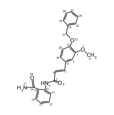 COc1cc(C=CC(=O)Nc2ccccc2C(N)=O)ccc1OCc1ccccc1